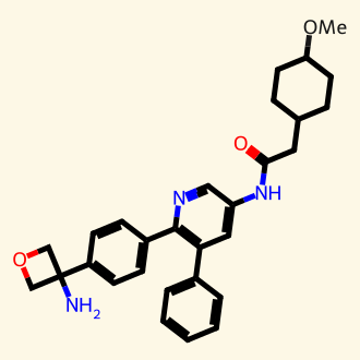 COC1CCC(CC(=O)Nc2cnc(-c3ccc(C4(N)COC4)cc3)c(-c3ccccc3)c2)CC1